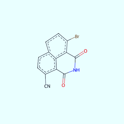 N#Cc1ccc2ccc(Br)c3c2c1C(=O)NC3=O